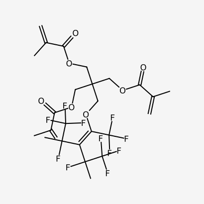 C=C(C)C(=O)OCC(COC(=O)C(=C)C)(COC(=O)C(=C)C)COC(=C(C(C)(F)C(F)(F)F)C(C)(F)C(F)(F)F)C(F)(F)F